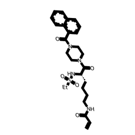 C=CC(=O)NCCCC[C@H](NS(=O)(=O)CC)C(=O)N1CCN(C(=O)c2cccc3ccccc23)CC1